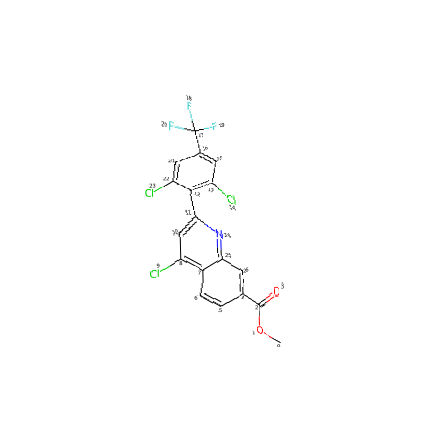 COC(=O)c1ccc2c(Cl)cc(-c3c(Cl)cc(C(F)(F)F)cc3Cl)nc2c1